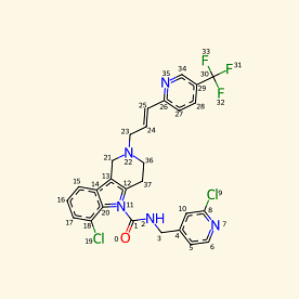 O=C(NCc1ccnc(Cl)c1)n1c2c(c3cccc(Cl)c31)CN(CC=Cc1ccc(C(F)(F)F)cn1)CC2